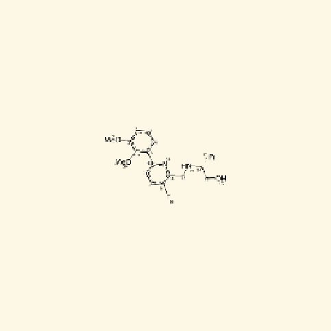 COc1cccc(-c2ccc(F)c(CN[C@@H](CO)C(C)C)n2)c1OC